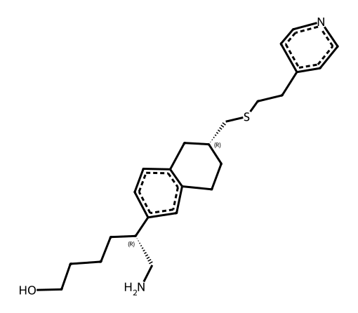 NC[C@H](CCCCO)c1ccc2c(c1)CC[C@@H](CSCCc1ccncc1)C2